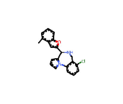 Cc1cccc2oc(C3NCc4c(Cl)cccc4-n4cccc43)cc12